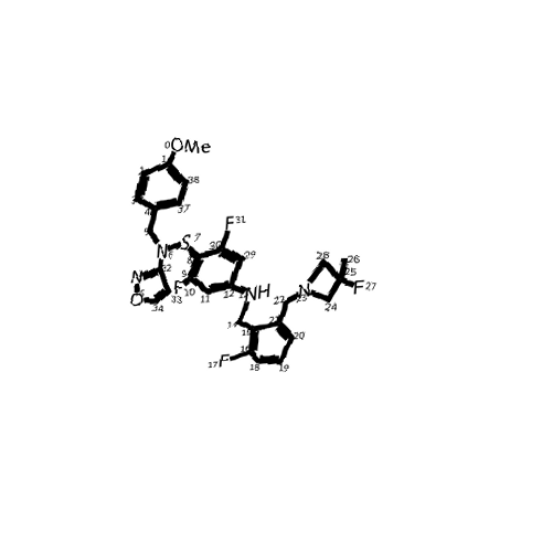 COc1ccc(CN(Sc2c(F)cc(NCc3c(F)cccc3CN3CC(C)(F)C3)cc2F)c2ccon2)cc1